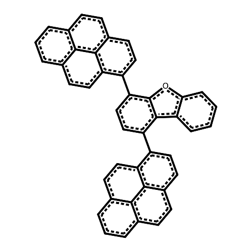 c1cc2ccc3ccc(-c4ccc(-c5ccc6ccc7cccc8ccc5c6c78)c5c4oc4ccccc45)c4ccc(c1)c2c34